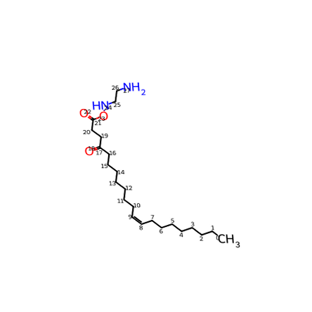 CCCCCCCC/C=C\CCCCCCCC(=O)CCC(=O)ONCCN